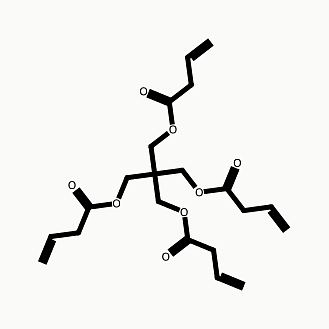 C=CCC(=O)OCC(COC(=O)CC=C)(COC(=O)CC=C)COC(=O)CC=C